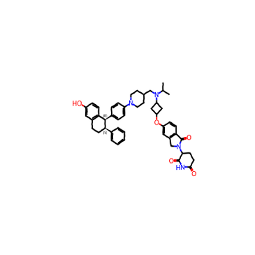 CC(C)N(CC1CCN(c2ccc([C@@H]3c4ccc(O)cc4CC[C@@H]3c3ccccc3)cc2)CC1)C1CC(Oc2ccc3c(c2)CN(C2CCC(=O)NC2=O)C3=O)C1